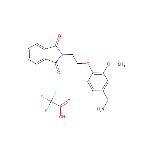 COc1cc(CN)ccc1OCCN1C(=O)c2ccccc2C1=O.O=C(O)C(F)(F)F